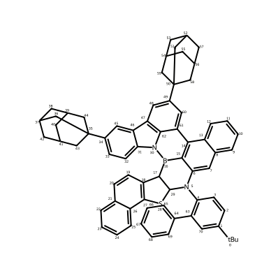 CC(C)(C)c1ccc(N2c3cc4ccccc4c4c3B(C3c5ccc6ccccc6c5SC32)n2c3ccc(C56CC7CC(CC(C7)C5)C6)cc3c3cc(C56CC7CC(CC(C7)C5)C6)cc-4c32)c(-c2ccccc2)c1